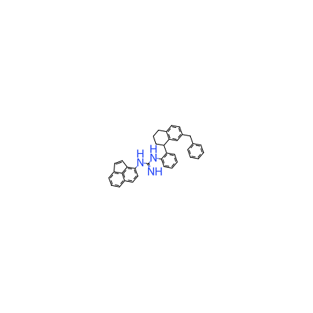 N=C(Nc1ccccc1C1CCCc2ccc(Cc3ccccc3)cc21)Nc1ccc2cccc3c2c1C=C3